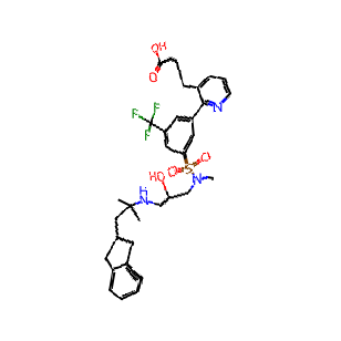 CN(CC(O)CNC(C)(C)CC1Cc2ccccc2C1)S(=O)(=O)c1cc(-c2ncccc2CCC(=O)O)cc(C(F)(F)F)c1